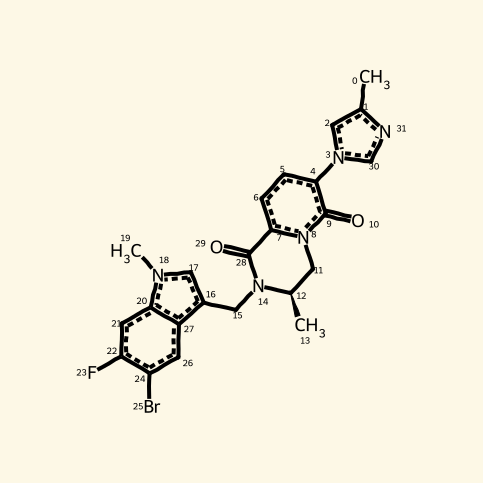 Cc1cn(-c2ccc3n(c2=O)C[C@@H](C)N(Cc2cn(C)c4cc(F)c(Br)cc24)C3=O)cn1